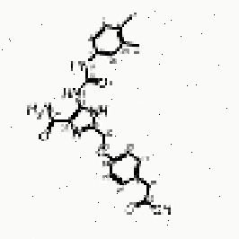 Cc1ccc(NC(=O)Nc2[nH]c(COc3ccc(CC(=O)O)cc3)nc2C(N)=O)cc1C